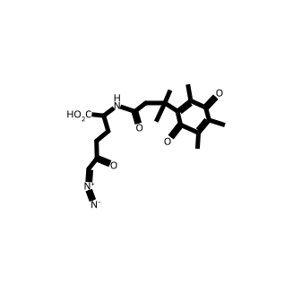 CC1=C(C)C(=O)C(C(C)(C)CC(=O)NC(CCC(=O)C=[N+]=[N-])C(=O)O)=C(C)C1=O